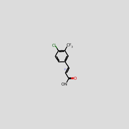 O=NC(=O)/C=C/c1ccc(Cl)c(C(F)(F)F)c1